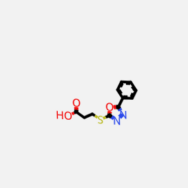 O=C(O)CCSc1nnc(-c2ccccc2)o1